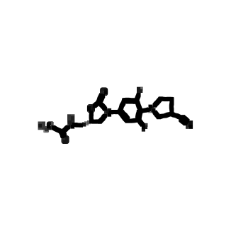 CC(=O)NC[C@H]1CN(c2cc(F)c(N3CCC(C#N)C3)c(F)c2)C(=O)O1